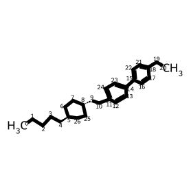 CCCCC[C@H]1CC[C@H](CCc2ccc(-c3ccc(CC)cc3)cc2)CC1